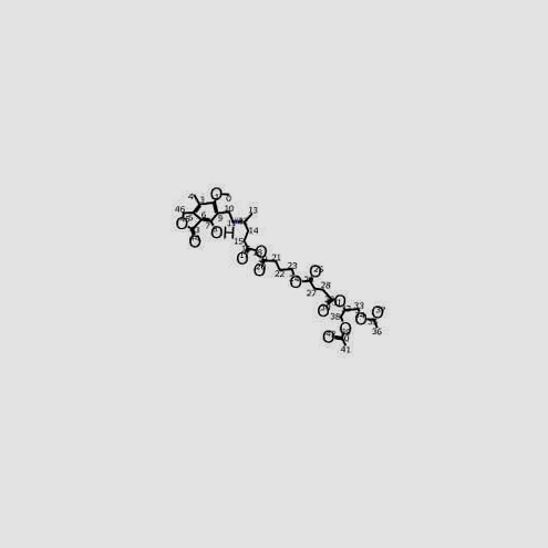 COc1c(C)c2c(c(O)c1C/C=C(\C)CCC(=O)OC(=O)CCCOC(=O)CCC(=O)OC(COC(C)=O)COC(C)=O)C(=O)OC2